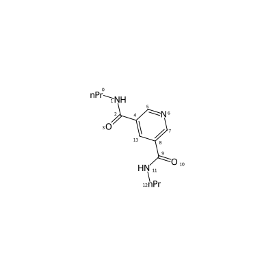 CCCNC(=O)c1cncc(C(=O)NCCC)c1